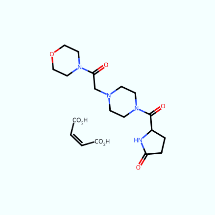 O=C(O)/C=C\C(=O)O.O=C1CCC(C(=O)N2CCN(CC(=O)N3CCOCC3)CC2)N1